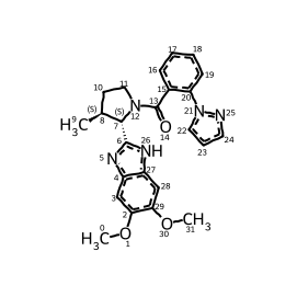 COc1cc2nc([C@@H]3[C@@H](C)CCN3C(=O)c3ccccc3-n3cccn3)[nH]c2cc1OC